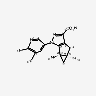 O=C(O)c1nn(-c2cnc(F)c(F)c2)c2c1C[C@H]1C[C@@H]21